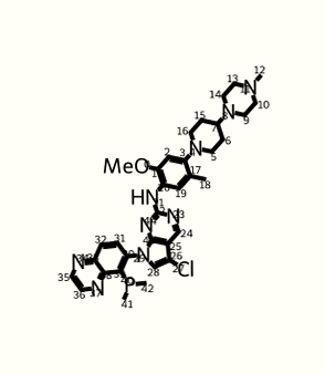 COc1cc(N2CCC(N3CCN(C)CC3)CC2)c(C)cc1Nc1ncc2c(Cl)cn(-c3ccc4nccnc4c3P(C)C)c2n1